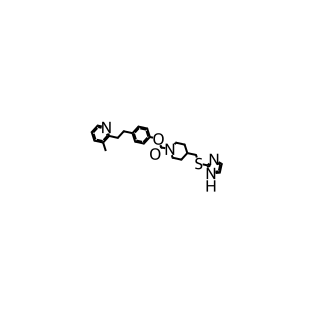 Cc1cccnc1CCc1ccc(OC(=O)N2CCC(CSc3ncc[nH]3)CC2)cc1